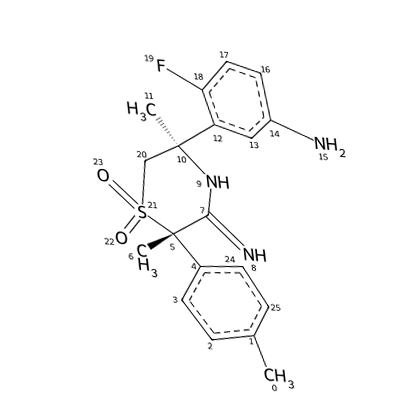 Cc1ccc([C@@]2(C)C(=N)N[C@](C)(c3cc(N)ccc3F)CS2(=O)=O)cc1